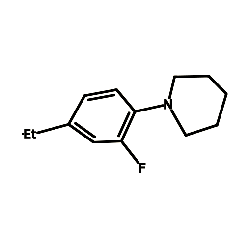 C[CH]c1ccc(N2CCCCC2)c(F)c1